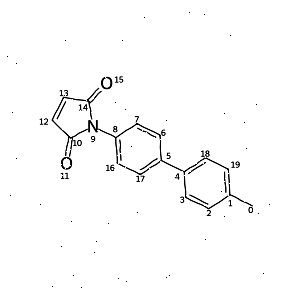 Cc1ccc(-c2ccc(N3C(=O)C=CC3=O)cc2)cc1